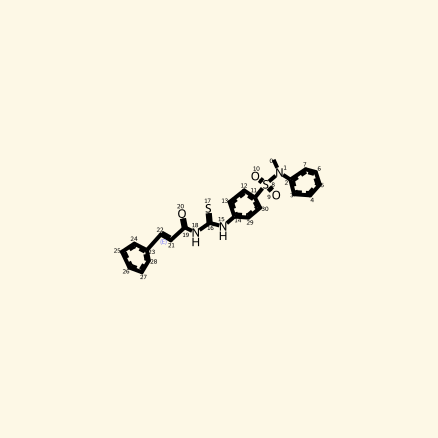 CN(c1ccccc1)S(=O)(=O)c1ccc(NC(=S)NC(=O)/C=C/c2ccccc2)cc1